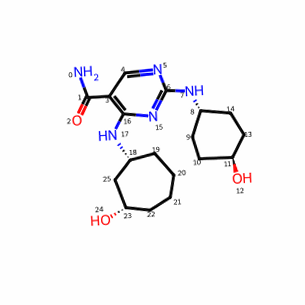 NC(=O)c1cnc(N[C@H]2CC[C@H](O)CC2)nc1N[C@@H]1CCCC[C@H](O)C1